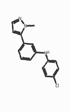 Cn1nccc1-c1cccc(Nc2ccc(Cl)cc2)c1